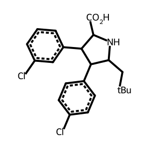 CC(C)(C)CC1NC(C(=O)O)C(c2cccc(Cl)c2)C1c1ccc(Cl)cc1